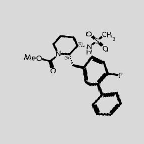 COC(=O)N1CCC[C@H](NS(C)(=O)=O)[C@@H]1Cc1ccc(F)c(-c2ccccc2)c1